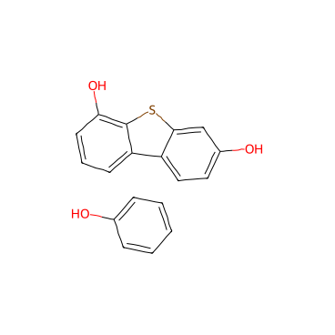 Oc1ccc2c(c1)sc1c(O)cccc12.Oc1ccccc1